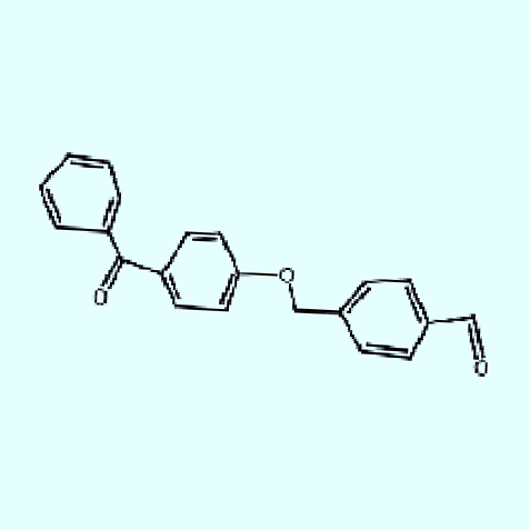 O=Cc1ccc(COc2ccc(C(=O)c3ccccc3)cc2)cc1